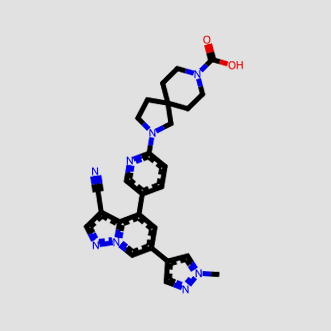 Cn1cc(-c2cc(-c3ccc(N4CCC5(CCN(C(=O)O)CC5)C4)nc3)c3c(C#N)cnn3c2)cn1